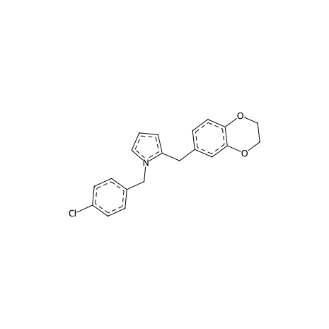 Clc1ccc(Cn2cccc2Cc2ccc3c(c2)OCCO3)cc1